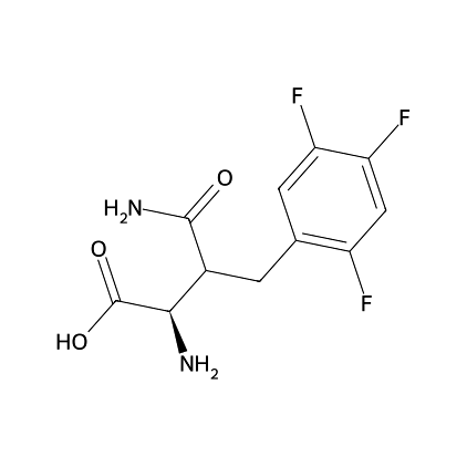 NC(=O)C(Cc1cc(F)c(F)cc1F)[C@@H](N)C(=O)O